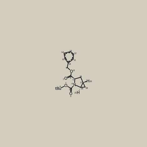 CC(C)(C)OC(=O)N1[C@@H](C(=O)OCc2ccccc2)C[C@@H]2C[C@H]21